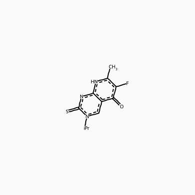 Cc1[nH]c2nc(=S)n(C(C)C)cc2c(=O)c1F